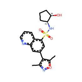 Cc1noc(C)c1-c1cc(S(=O)(=O)N[C@H]2CCC[C@H]2O)c2cccnc2c1